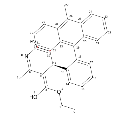 CCO/C(O)=C1/C(C)=NC(C)=C[C@H]1c1ccccc1-c1c2ccccc2c(C)c2ccccc12